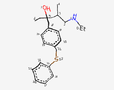 CCNCC(C)C(C)(O)c1ccc(Sc2ccccc2)cc1